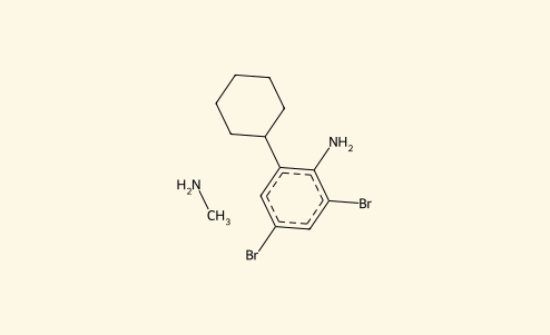 CN.Nc1c(Br)cc(Br)cc1C1CCCCC1